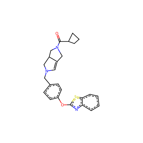 O=C(C1CCC1)N1CC2=CN(Cc3ccc(Oc4nc5ccccc5s4)cc3)CC2C1